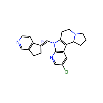 Clc1cnc2c(c1)c1c(n2/C=C2\CCc3cnccc32)CCN2CCCC12